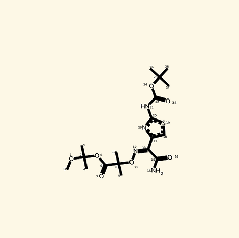 COC(C)(C)OC(=O)C(C)(C)O/N=C(\C(N)=O)c1csc(NC(=O)OC(C)(C)C)n1